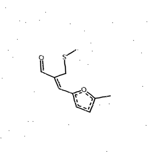 CSCC(C=O)=Cc1ccc(C)o1